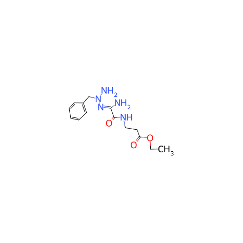 CCOC(=O)CCNC(=O)/C(N)=N/N(N)Cc1ccccc1